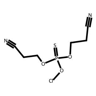 N#CCCOP(=S)(OCl)OCCC#N